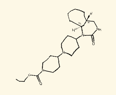 CCOC(=O)N1CCC(N2CCC(N3C(=O)NC[C@H]4CCCC[C@@H]43)CC2)CC1